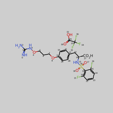 N=C(N)NOCCCOc1ccc(C[C@H](NS(=O)(=O)c2c(F)cccc2F)C(=O)O)cc1.O=C(O)C(F)(F)F